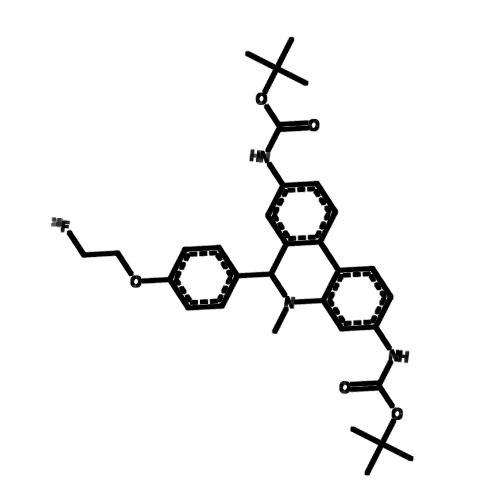 CN1c2cc(NC(=O)OC(C)(C)C)ccc2-c2ccc(NC(=O)OC(C)(C)C)cc2C1c1ccc(OCC[18F])cc1